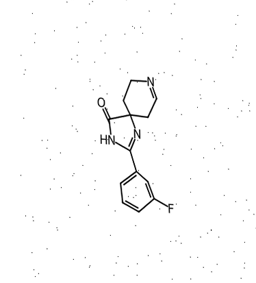 O=C1NC(c2cccc(F)c2)=NC12CC=NCC2